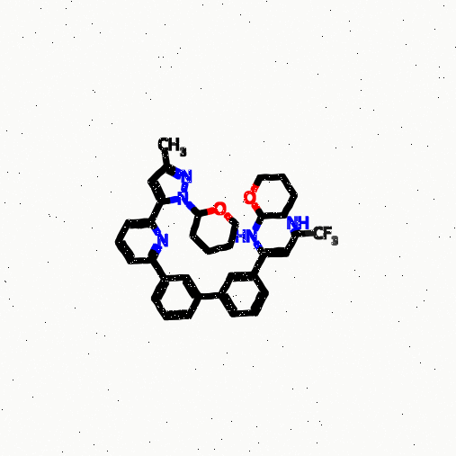 Cc1cc(-c2cccc(-c3cccc(-c4cccc(/C(=C/C(=N)C(F)(F)F)NC5CCCCO5)c4)c3)n2)n(C2CCCCO2)n1